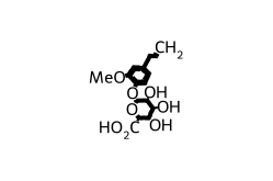 C=CCc1ccc(OC2O[C@H](C(=O)O)[C@@H](O)[C@H](O)[C@H]2O)c(OC)c1